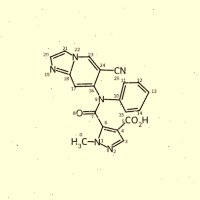 Cn1ncc(C(=O)O)c1C(=O)N(c1ccccc1)c1cc2nccn2cc1C#N